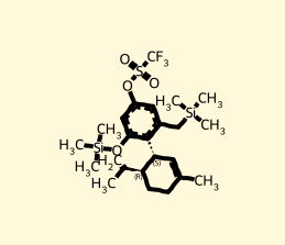 C=C(C)[C@@H]1CCC(C)=C[C@H]1c1c(C[Si](C)(C)C)cc(OS(=O)(=O)C(F)(F)F)cc1O[Si](C)(C)C